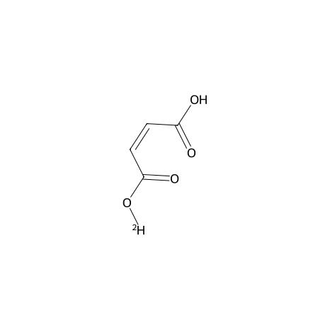 [2H]OC(=O)/C=C\C(=O)O